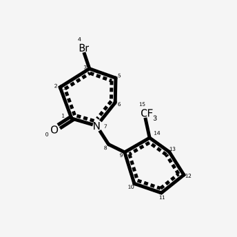 O=c1cc(Br)ccn1Cc1ccccc1C(F)(F)F